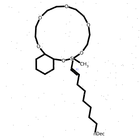 CCCCCCCCCCCCCCCC/C=C/[Si]1(C)OCCOCCOCCOCCOC2CCCCC2O1